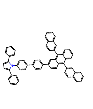 c1ccc(-c2ccc(-c3ccccc3)n2-c2ccc(-c3ccc(-c4ccc5c(-c6ccc7ccccc7c6)c6ccccc6c(-c6ccc7ccccc7c6)c5c4)cc3)cc2)cc1